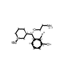 CC(C)(C)N1CCC[C@@H]([C@H](OCCN)c2cccc(Cl)c2F)C1